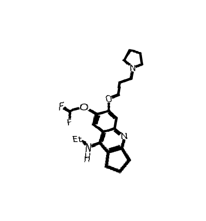 CCNc1c2c(nc3cc(OCCCN4CCCC4)c(OC(F)F)cc13)CCC2